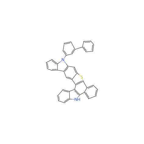 c1ccc(-c2cccc(-n3c4ccccc4c4cc5c(cc43)sc3c4ccccc4c4[nH]c6ccccc6c4c53)c2)cc1